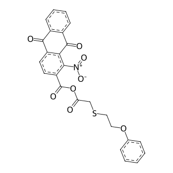 O=C(CSCCOc1ccccc1)OC(=O)c1ccc2c(c1[N+](=O)[O-])C(=O)c1ccccc1C2=O